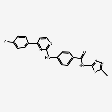 Cc1nnc(NC(=O)c2ccc(Nc3nccc(-c4ccc(Cl)cc4)n3)cc2)s1